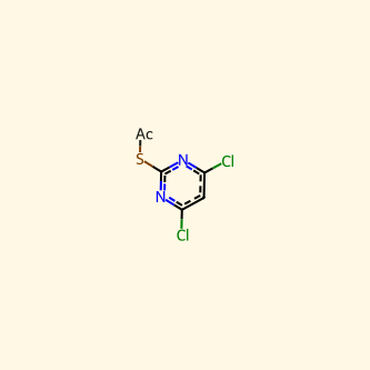 CC(=O)Sc1nc(Cl)cc(Cl)n1